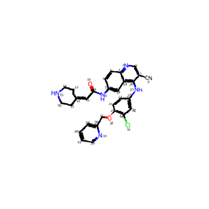 N#Cc1cnc2ccc(NC(=O)C=C3CCNCC3)cc2c1Nc1ccc(OCc2ccccn2)c(Cl)c1